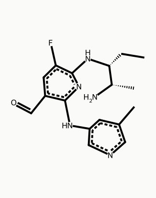 CC[C@@H](Nc1nc(Nc2cncc(C)c2)c(C=O)cc1F)[C@H](C)N